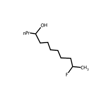 CCCC(O)CCCCCCC(C)F